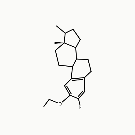 CCOc1cc2c(cc1F)CCC1C2CC[C@]2(C)C(C)CCC12